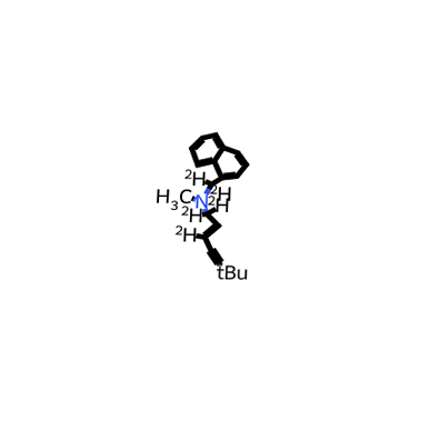 [2H]/C(C#CC(C)(C)C)=C\C([2H])([2H])N(C)C([2H])([2H])c1cccc2ccccc12